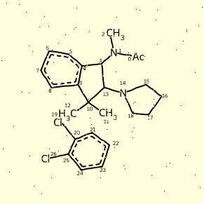 CC(=O)N(C)C1c2ccccc2C(C)(C)C1N1CCCC1.Clc1ccccc1Cl